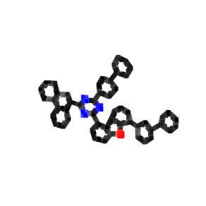 c1ccc(-c2ccc(-c3nc(-c4cc5ccccc5c5ccccc45)nc(-c4cccc5oc6c(-c7cccc(-c8ccccc8)c7)cccc6c45)n3)cc2)cc1